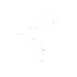 CCCC[C@]1(O)CN(S(=O)(=O)c2ccc(Cl)cn2)CC1Oc1ccc(C#N)c(F)c1